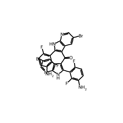 Nc1ccc(F)c(-c2[nH]c3ncc(Br)cc3c2C(=O)c2c(-c3c(F)ccc(N)c3F)[nH]c3ncc(Br)cc23)c1F